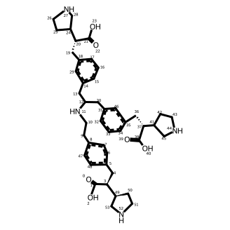 O=C(O)[C@@H](Cc1ccc(CCNC(Cc2cccc(C[C@@H](C(=O)O)C3CCNC3)c2)Cc2cccc(C[C@@H](C(=O)O)C3CCNC3)c2)cc1)[C@H]1CCNC1